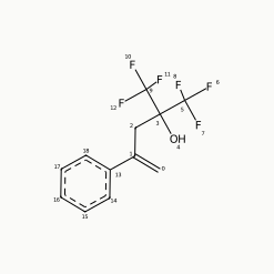 C=C(CC(O)(C(F)(F)F)C(F)(F)F)c1ccccc1